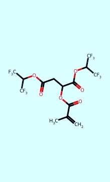 C=C(C)C(=O)OC(CC(=O)OC(C(F)(F)F)C(F)(F)F)C(=O)OC(C(F)(F)F)C(F)(F)F